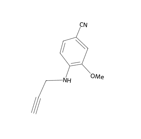 C#CCNc1ccc(C#N)cc1OC